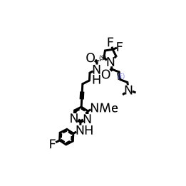 CNc1nc(Nc2ccc(F)cc2)ncc1C#CCCCNC(=O)[C@@H]1CC(F)(F)CN1C(=O)/C=C/CN(C)C